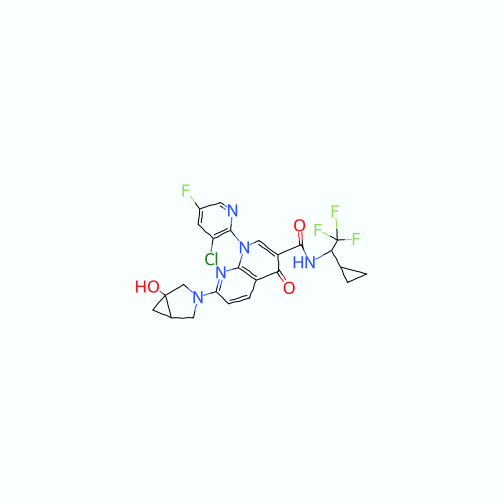 O=C(NC(C1CC1)C(F)(F)F)c1cn(-c2ncc(F)cc2Cl)c2nc(N3CC4CC4(O)C3)ccc2c1=O